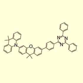 CC1(C)c2ccc(-c3ccc(-c4nc(-c5ccccc5)nc(-c5ccccc5)n4)cc3)cc2Oc2cc(N3c4ccccc4C(C)(C)c4ccccc43)ccc21